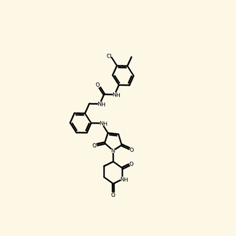 Cc1ccc(NC(=O)NCc2ccccc2NC2=CC(=O)N(C3CCC(=O)NC3=O)C2=O)cc1Cl